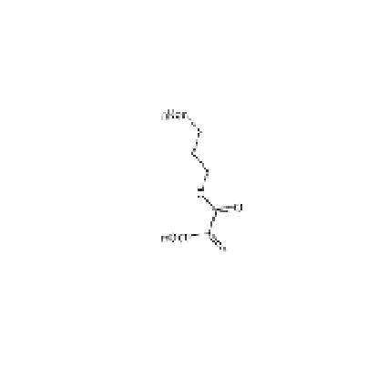 C=C(CCCCCCCC)C(=O)OCCCCCCCCCCCC